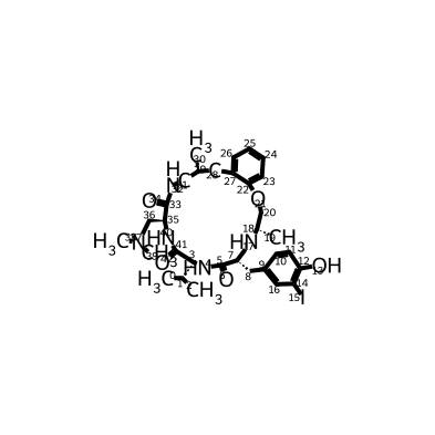 CC(C)[C@H]1NC(=O)[C@@H](Cc2ccc(O)c(I)c2)N[C@@H](C)COc2ccccc2C[C@H](C)CNC(=O)[C@H](CN(C)C)NC1=O